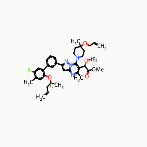 C=CCOC1(C)CCN(c2c(C(OC(C)(C)C)C(=O)OC)c(C)nc3cc(-c4cccc(-c5cc(F)c(C)cc5O[C@@H](C)CC=C)c4)nn23)CC1